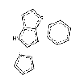 c1cc2sccc2[nH]1.c1ccccc1.c1ccsc1